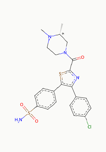 C[C@@H]1CN(C(=O)c2nc(-c3ccc(Cl)cc3)c(-c3ccc(S(N)(=O)=O)cc3)s2)CCN1C